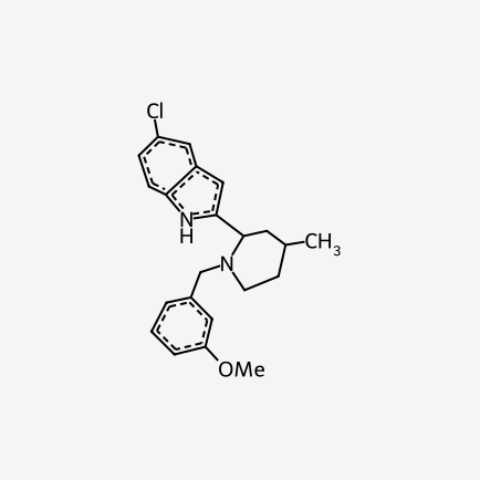 COc1cccc(CN2CCC(C)CC2c2cc3cc(Cl)ccc3[nH]2)c1